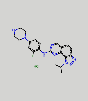 CC(C)n1nnc2ccc3cnc(Nc4ccc(N5CCNCC5)cc4F)nc3c21.Cl